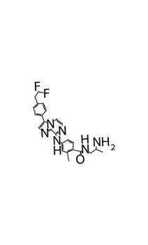 Cc1cc(Nc2nccn3c(-c4ccc(CC(F)F)cc4)cnc23)ccc1C(=O)NCC(C)N